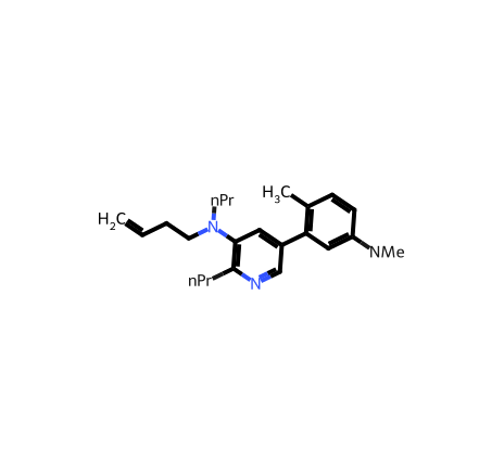 C=CCCN(CCC)c1cc(-c2cc(NC)ccc2C)cnc1CCC